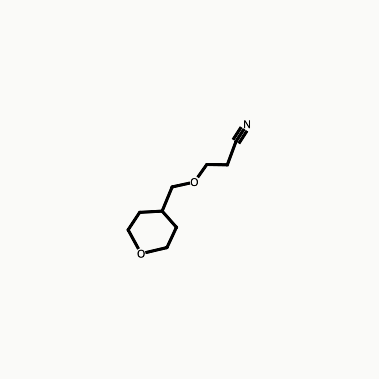 N#CCCOCC1CCOCC1